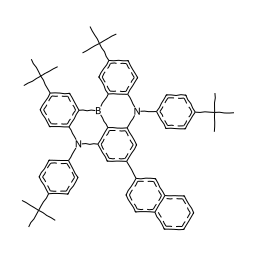 CC(C)(C)c1ccc(N2c3ccc(C(C)(C)C)cc3B3c4cc(C(C)(C)C)ccc4N(c4ccc(C(C)(C)C)cc4)c4cc(-c5ccc6ccccc6c5)cc2c43)cc1